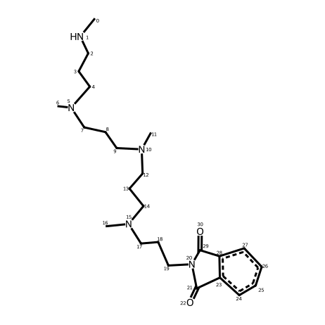 CNCCCN(C)CCCN(C)CCCN(C)CCCN1C(=O)c2ccccc2C1=O